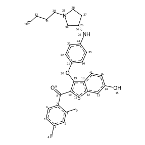 Cc1cc(F)ccc1C(=O)c1sc2cc(O)ccc2c1Oc1ccc(N[C@H]2CCN(CCCF)C2)cc1